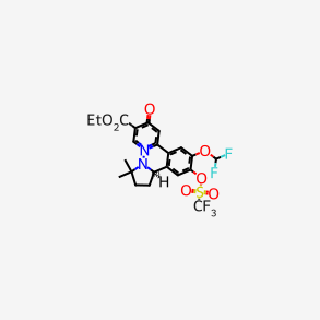 CCOC(=O)c1cn2c(cc1=O)-c1cc(OC(F)F)c(OS(=O)(=O)C(F)(F)F)cc1[C@H]1CCC(C)(C)N12